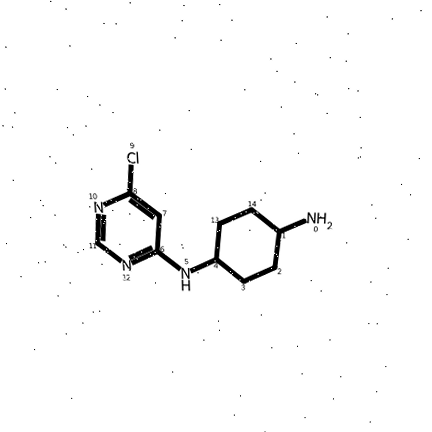 NC1CCC(Nc2cc(Cl)ncn2)CC1